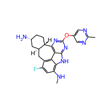 CNc1cc(F)c2c3c1[nH]c1nc(Oc4cnc(C)nc4)nc(c13)[C@H]1CC[C@@H](N)C[C@@H]1C2